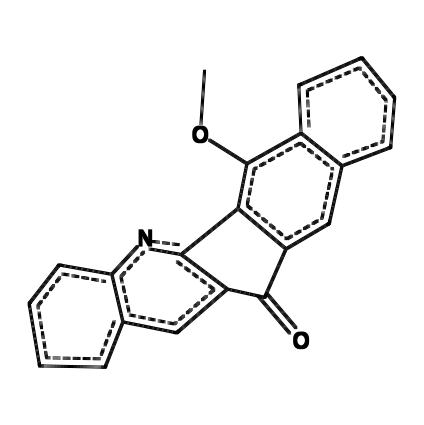 COc1c2c(cc3ccccc13)C(=O)c1cc3ccccc3nc1-2